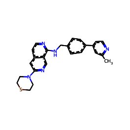 Cc1cc(-c2ccc(CNc3nccc4cc(N5CCSCC5)ncc34)cc2)ccn1